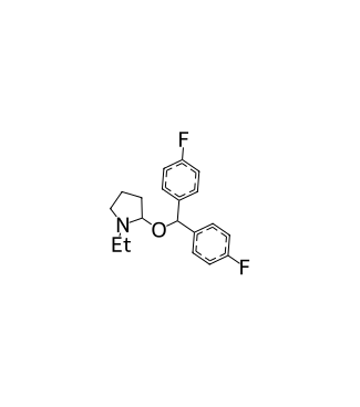 CCN1CCCC1OC(c1ccc(F)cc1)c1ccc(F)cc1